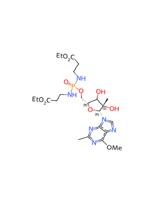 CCOC(=O)CCNP(=O)(NCCC(=O)OCC)OC[C@H]1O[C@@H](n2cnc3c(OC)nc(C)nc32)[C@@](C)(O)C1O